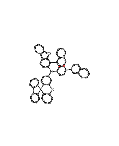 c1ccc2c(c1)Sc1cc(N(c3ccc(-c4ccc5ccccc5c4)cc3)c3ccc4c(oc5ccccc54)c3-c3cccc4ccccc34)ccc1C21c2ccccc2-c2ccccc21